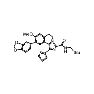 COc1cc2c(cc1-c1ccc3c(c1)OCO3)-c1c(-c3cccs3)nc(C(=O)NCC(C)(C)C)n1CC2